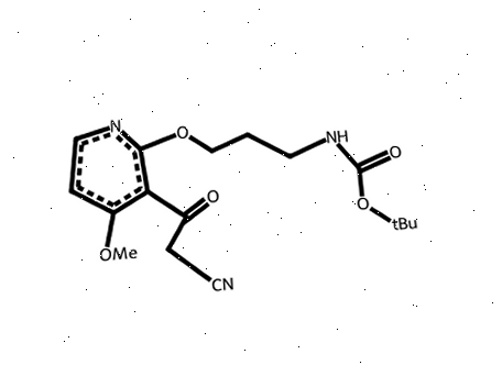 COc1ccnc(OCCCNC(=O)OC(C)(C)C)c1C(=O)CC#N